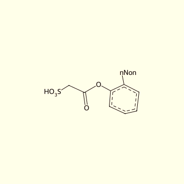 CCCCCCCCCc1ccccc1OC(=O)CS(=O)(=O)O